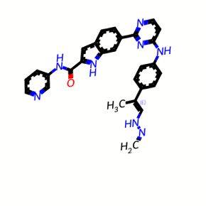 C=NN/C=C(\C)c1ccc(Nc2ccnc(-c3ccc4cc(C(=O)Nc5cccnc5)[nH]c4c3)n2)cc1